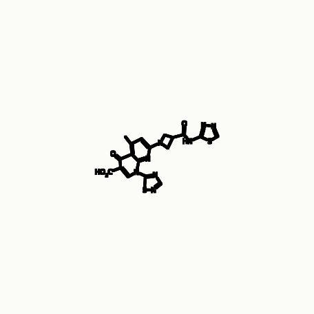 Cc1cc(N2CC(C(=O)Nc3nncs3)C2)nc2c1c(=O)c(C(=O)O)cn2-c1ncns1